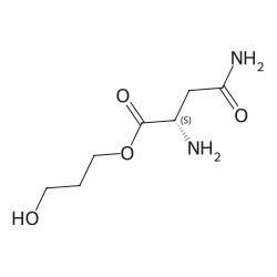 NC(=O)C[C@H](N)C(=O)OCCCO